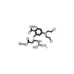 COC(=O)c1ccc(N(CCCl)CCCl)cc1C[C@@H](CC(=O)OC(C)(C)C)NB(C)O